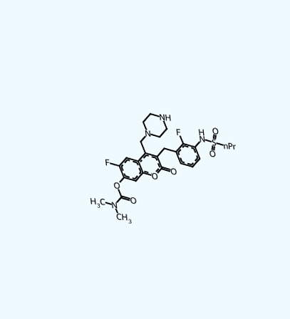 CCCS(=O)(=O)Nc1cccc(Cc2c(CN3CCNCC3)c3cc(F)c(OC(=O)N(C)C)cc3oc2=O)c1F